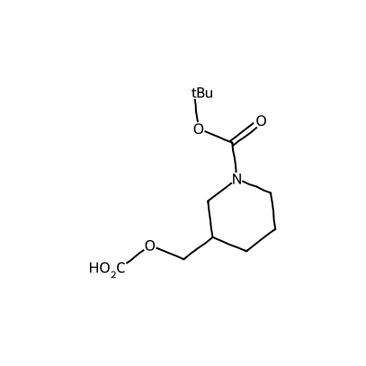 CC(C)(C)OC(=O)N1CCCC(COC(=O)O)C1